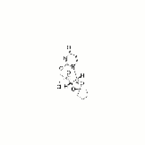 O=c1ccn2c(n1)OC[C@@]1(CCl)OC2[C@@H]2OC3(CCCC3)O[C@@H]21